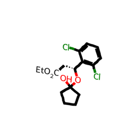 CCOC(=O)C[C@@H](OC1(O)CCCC1)c1c(Cl)cccc1Cl